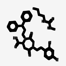 CCCCNC(=O)NC.O=C(O)C1CC(=O)N(CCc2ccc(Cl)cc2Cl)CC(=O)N1CCC(c1ccccc1)c1ccccc1